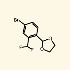 FC(F)c1cc(Br)ccc1C1OCCO1